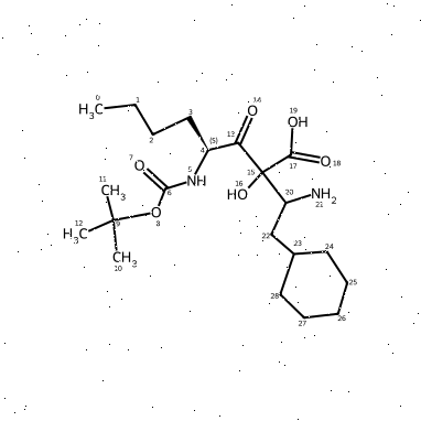 CCCC[C@H](NC(=O)OC(C)(C)C)C(=O)C(O)(C(=O)O)C(N)CC1CCCCC1